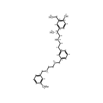 COc1cccc(COCCOCc2cccc(CCNC[C@H](O)c3ccc(O)c(CO)c3)c2)c1